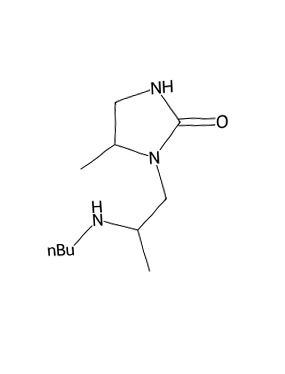 CCCCNC(C)CN1C(=O)NCC1C